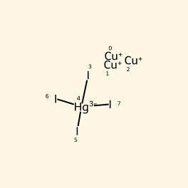 [Cu+].[Cu+].[Cu+].[I][Hg-3]([I])([I])[I]